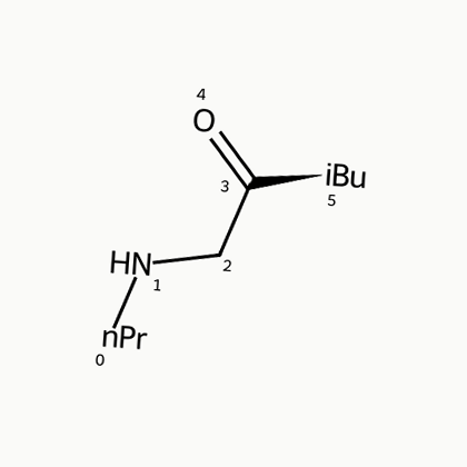 CCCNCC(=O)[C@H](C)CC